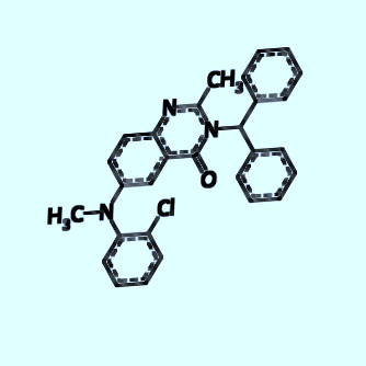 Cc1nc2ccc(N(C)c3ccccc3Cl)cc2c(=O)n1C(c1ccccc1)c1ccccc1